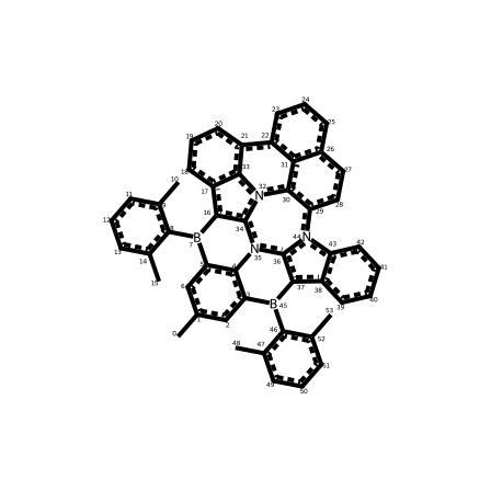 Cc1cc2c3c(c1)B(c1c(C)cccc1C)c1c4cccc5c6cccc7ccc8c(c76)n(c45)c1n-3c1c(c3ccccc3n81)B2c1c(C)cccc1C